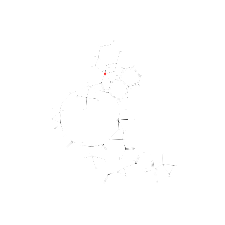 C=C[C@@H]1C[C@]1(NC(=O)[C@@H]1C[C@@H]2CN1C(=O)[C@H](C(C)(C)C)NC(=O)O[C@@H]1C[C@H]1CCCCCc1c(nc3ccccc3c1OC1C3COCC1CN(C(=O)OC(C)(C)C)C3)O2)C(=O)NS(=O)(=O)C1(C)CC1